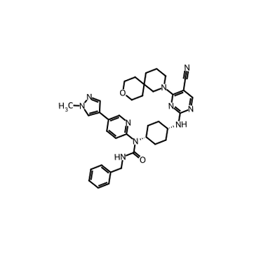 Cn1cc(-c2ccc(N(C(=O)NCc3ccccc3)[C@H]3CC[C@@H](Nc4ncc(C#N)c(N5CCCC6(CCOCC6)C5)n4)CC3)nc2)cn1